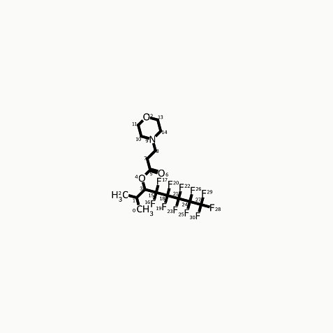 CC(C)C(OC(=O)CCN1CCOCC1)C(F)(F)C(F)(F)C(F)(F)C(F)(F)C(F)(F)F